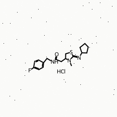 CN1C(=NC2CCCC2)SCC1CC(=O)NCc1ccc(F)cc1.Cl